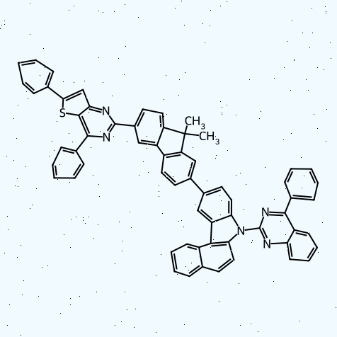 CC1(C)c2ccc(-c3nc(-c4ccccc4)c4sc(-c5ccccc5)cc4n3)cc2-c2ccc(-c3ccc4c(c3)c3c5ccccc5ccc3n4-c3nc(-c4ccccc4)c4ccccc4n3)cc21